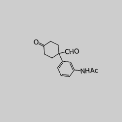 CC(=O)Nc1cccc(C2(C=O)CCC(=O)CC2)c1